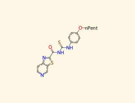 CCCCCOc1ccc(NC(=S)NC(=O)c2nc3ccncc3s2)cc1